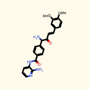 COc1ccc(C=CC(=O)C(N)c2ccc(C(=O)Nc3cccnc3N)cc2)cc1OC